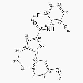 COc1ccc2c(c1)-c1sc(C(=O)Nc3c(F)cccc3F)nc1CCC2